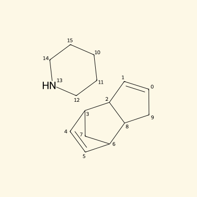 C1=CC2C3C=CC(C3)C2C1.C1CCNCC1